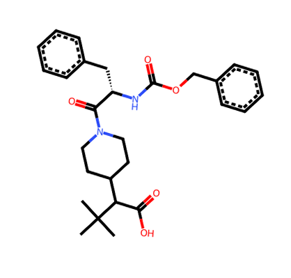 CC(C)(C)C(C(=O)O)C1CCN(C(=O)[C@H](Cc2ccccc2)NC(=O)OCc2ccccc2)CC1